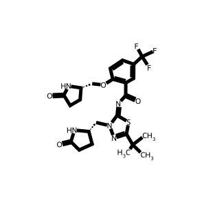 CC(C)(C)c1nn(C[C@@H]2CCC(=O)N2)/c(=N/C(=O)c2cc(C(F)(F)F)ccc2OC[C@@H]2CCC(=O)N2)s1